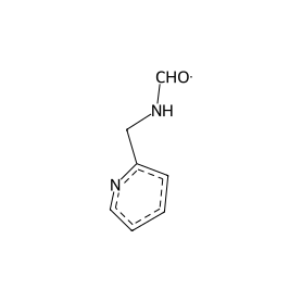 O=[C]NCc1ccccn1